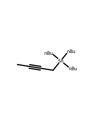 CC#C[CH2][Sn]([CH2]CCC)([CH2]CCC)[CH2]CCC